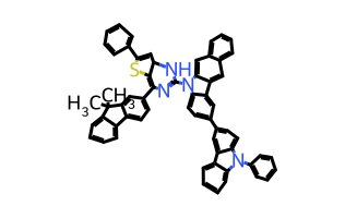 CC1(C)c2ccccc2-c2ccc(C3=C4SC(c5ccccc5)=CC4NC(n4c5ccc(-c6ccc7c(c6)c6ccccc6n7-c6ccccc6)cc5c5cc6ccccc6cc54)=N3)cc21